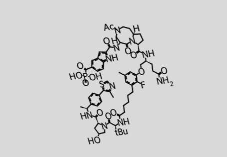 CC(=O)N1CC[C@H]2CC[C@@H](C(=O)N[C@@H](CCC(N)=O)COc3cc(C)cc(CCCCCC(=O)N[C@H](C(=O)N4C[C@@H](O)C[C@H]4C(=O)N[C@@H](C)c4ccc(-c5scnc5C)cc4)C(C)(C)C)c3F)N2C(=O)[C@@H](NC(=O)c2cc3cc(C(=O)P(=O)(O)O)ccc3[nH]2)C1